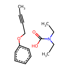 CC#CCOc1ccccc1.CCN(CC)C(=O)O